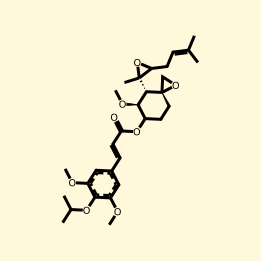 COc1cc(/C=C/C(=O)OC2CC[C@]3(CO3)[C@@H](C3(C)OC3CC=C(C)C)[C@@H]2OC)cc(OC)c1OC(C)C